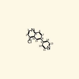 Clc1ccnc2ccc(-c3ccncc3)cc12